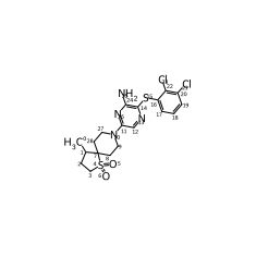 CC1CCS(=O)(=O)C12CCN(c1cnc(Sc3cccc(Cl)c3Cl)c(N)n1)CC2